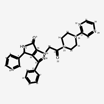 O=C1NC(c2cccnc2)c2c(-c3ccccc3)nn(CC(=O)N3CCN(c4cnccn4)CC3)c21